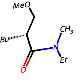 CCN(C)C(=O)[C@@H](COC)C(C)(C)C